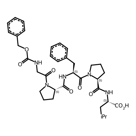 CC(C)C[C@H](NC(=O)[C@@H]1CCCN1C(=O)[C@H](Cc1ccccc1)NC(=O)[C@@H]1CCCN1C(=O)CNC(=O)OCc1ccccc1)C(=O)O